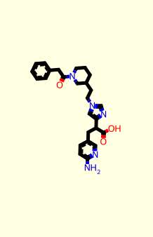 Nc1ccc(CC(C(=O)O)c2cn(CCC3CCCN(C(=O)Cc4ccccc4)C3)cn2)cn1